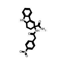 NC(=O)C1(NC(=O)Cc2ccc([N+](=O)[O-])cc2)C=C2c3ccccc3NC2CC1